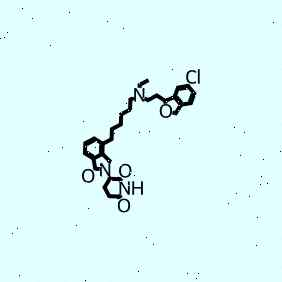 CCN(CCCCCCc1cccc2c1CN(C1CCC(=O)NC1=O)C2=O)CCC1OCc2ccc(Cl)cc21